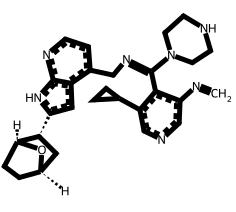 C=Nc1cncc(C2CC2)c1/C(=N\Cc1ccnc2[nH]c([C@@H]3C[C@H]4CC[C@@H]3O4)cc12)N1CCNCC1